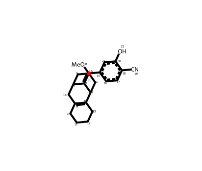 CO/C(=C1\C2CCCC1C1=C(CCCC1)C2)c1ccc(C#N)c(O)c1